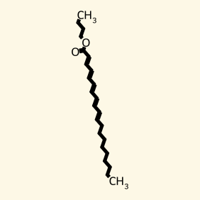 CCCCCCCCCC=CC=CC=CC=CC=CC(=O)OCCCC